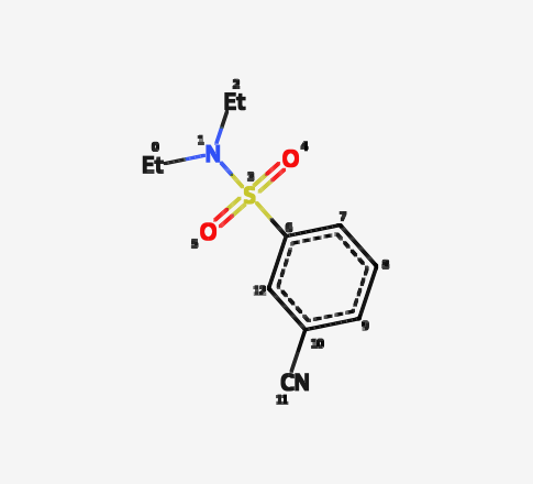 CCN(CC)S(=O)(=O)c1cccc(C#N)c1